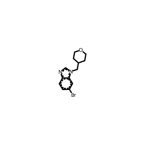 Brc1ccc2ncn(CC3CCOCC3)c2c1